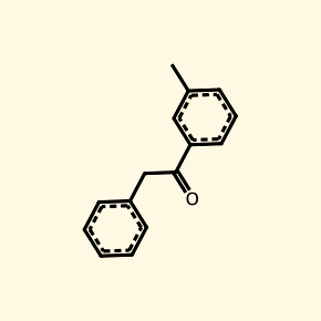 Cc1cccc(C(=O)Cc2ccccc2)c1